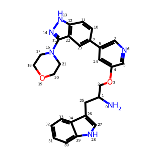 NC(COc1cncc(-c2ccc3[nH]nc(N4CCOCC4)c3c2)c1)Cc1c[nH]c2ccccc12